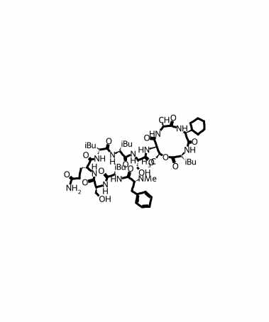 CC[C@@H](C)[C@@H](NC(=O)[C@@H](CCC(N)=O)NC(=O)[C@H](CO)NC(=O)[C@@H](NC(=O)[C@@H](Cc1ccccc1)NC)[C@@H](C)CC)C(=O)N[C@H](C(=O)N[C@@H](CO)C(=O)N[C@H]1C(=O)N[C@@H](C)C(=O)N[C@@H](C2CCCCC2)C(=O)N[C@@H]([C@@H](C)CC)C(=O)O[C@H]1C)[C@@H](C)CC